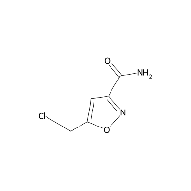 NC(=O)c1cc(CCl)on1